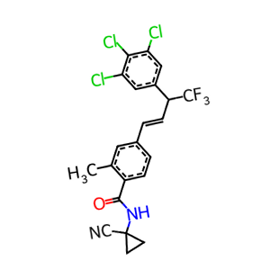 Cc1cc(/C=C/C(c2cc(Cl)c(Cl)c(Cl)c2)C(F)(F)F)ccc1C(=O)NC1(C#N)CC1